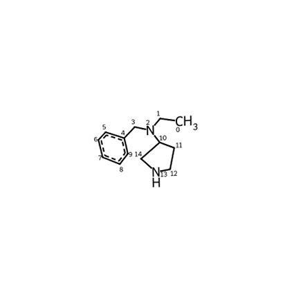 CCN(Cc1ccccc1)C1CCNC1